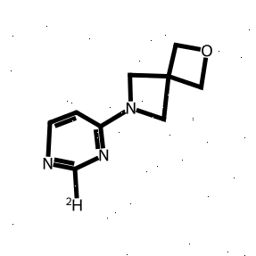 [2H]c1nccc(N2CC3(COC3)C2)n1